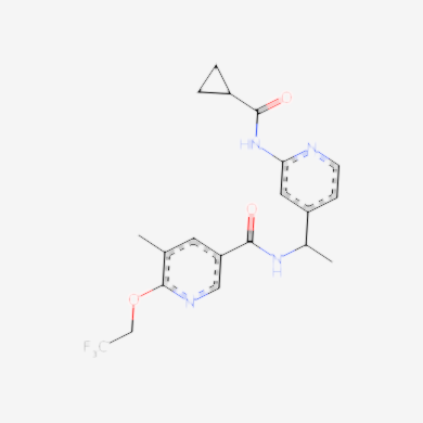 Cc1cc(C(=O)NC(C)c2ccnc(NC(=O)C3CC3)c2)cnc1OCC(F)(F)F